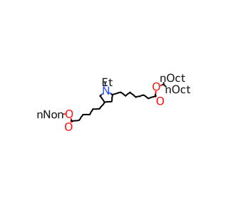 CCCCCCCCCOC(=O)CCCCCC1CC(CCCCCCC(=O)OC(CCCCCCCC)CCCCCCCC)N(CC)C1